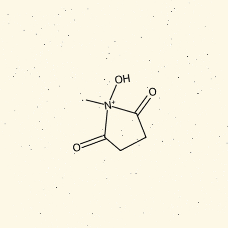 [CH2][N+]1(O)C(=O)CCC1=O